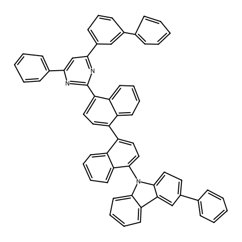 c1ccc(-c2cccc(-c3cc(-c4ccccc4)nc(-c4ccc(-c5ccc(-n6c7ccccc7c7cc(-c8ccccc8)ccc76)c6ccccc56)c5ccccc45)n3)c2)cc1